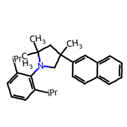 CC(C)c1cccc(C(C)C)c1N1CC(C)(c2ccc3ccccc3c2)CC1(C)C